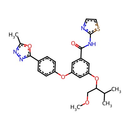 COCC(Oc1cc(Oc2ccc(-c3nnc(C)o3)cc2)cc(C(=O)Nc2nccs2)c1)C(C)C